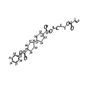 C=CC(=O)OCCCCOC(=O)C1CCC(C2CCC(C(=O)Oc3ccccc3)CC2)CC1